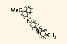 COc1ccc(/C=N/c2ccc(-c3nc4ccc(C)cc4s3)cc2)c2ccccc12